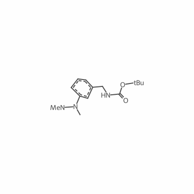 CNN(C)c1cccc(CNC(=O)OC(C)(C)C)c1